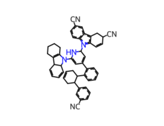 N#Cc1cccc(C2CC=CCC2c2ccccc2C2=CC(n3c4c(c5cc(C#N)ccc53)CC(C#N)C=C4)NC(N3C4=C(CCCC4)C4C=CC=CC43)=C2)c1